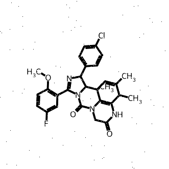 COc1ccc(F)cc1C1=NC(c2ccc(Cl)cc2)C2N1C(=O)N1CC(=O)NC3=C1C2(C)C=C(C)C3C